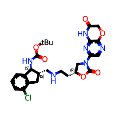 CC(C)(C)OC(=O)N[C@@H]1c2cccc(Cl)c2C[C@H]1CNCC[C@@H]1CN(c2cnc3c(n2)NC(=O)CO3)C(=O)O1